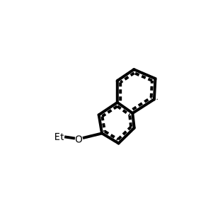 CCOc1ccc2[c]cccc2c1